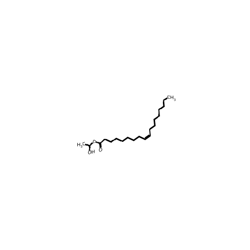 CCCCCCCC/C=C\CCCCCCCC(=O)OC(C)O